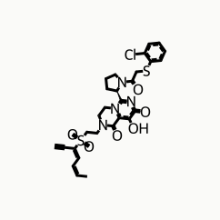 C#C/C(=C\C=C/C)S(=O)(=O)CCN1CCn2c([C@H]3CCCN3C(=O)CSc3ccccc3Cl)nc(=O)c(O)c2C1=O